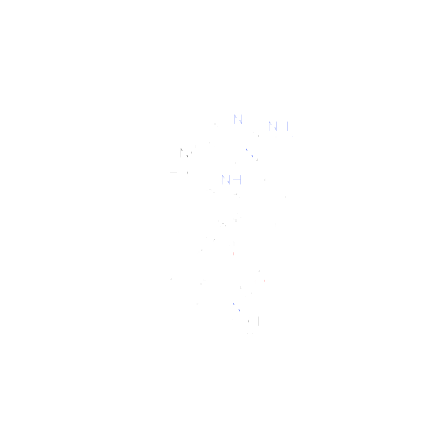 C[C@H](Nc1nc(N)ncc1C#N)C1=Cc2cccc(-c3ccn(C)c(=O)c3)c2C(=O)C1c1ccccc1